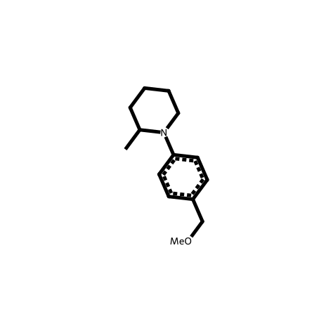 COCc1ccc(N2CCCCC2C)cc1